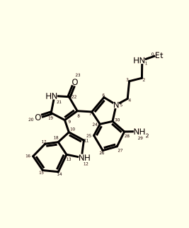 CCNCCCn1cc(C2=C(c3c[nH]c4ccccc34)C(=O)NC2=O)c2cccc(N)c21